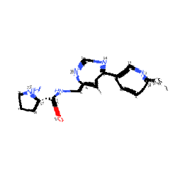 O=C(NCc1cc(-c2ccc(C(F)(F)F)nc2)ncn1)[C@@H]1CCCN1